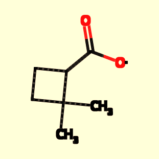 CC1(C)CCC1C([O])=O